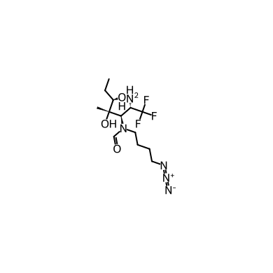 CC[C@@H](O)[C@@](C)(O)[C@@H]([C@H](N)C(F)(F)F)N(C=O)CCCCN=[N+]=[N-]